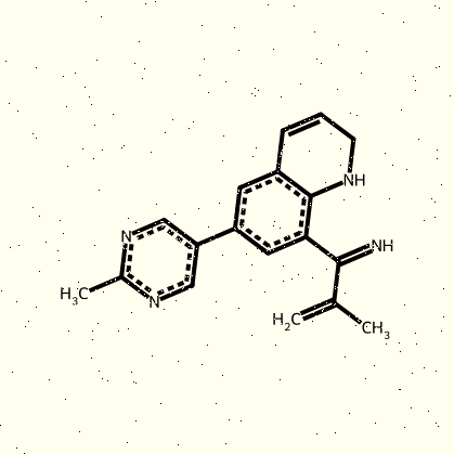 C=C(C)C(=N)c1cc(-c2cnc(C)nc2)cc2c1NCC=C2